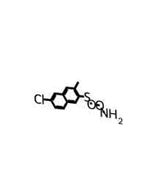 Cc1cc2cc(Cl)ccc2cc1SOON